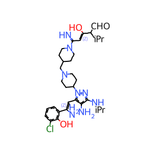 CC(C)Nc1nn(C2CCN(CC3CCN(C(=N)/C=C(\O)C(C=O)C(C)C)CC3)CC2)c(/C=C(\N)c2cccc(Cl)c2O)c1N